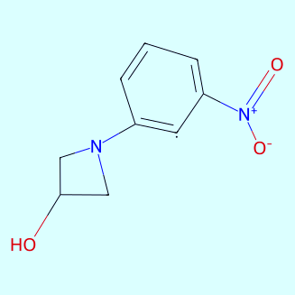 O=[N+]([O-])c1[c]c(N2CC(O)C2)ccc1